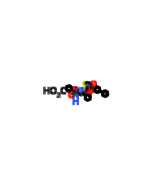 O=C(O)c1cccc(S(=O)(=O)NCC[C@H](NC(=O)C2SCCN2S(=O)(=O)c2ccc(-c3ccccc3)cc2)c2ccccc2)c1